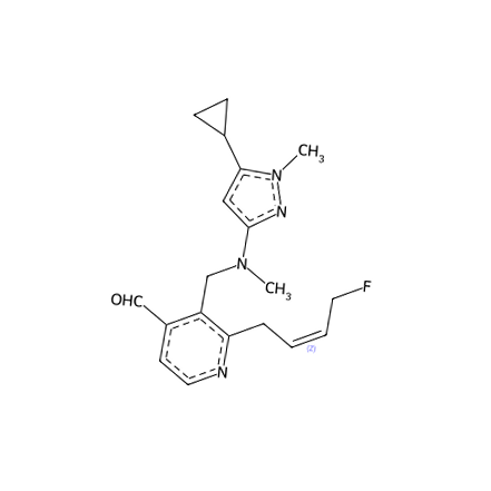 CN(Cc1c(C=O)ccnc1C/C=C\CF)c1cc(C2CC2)n(C)n1